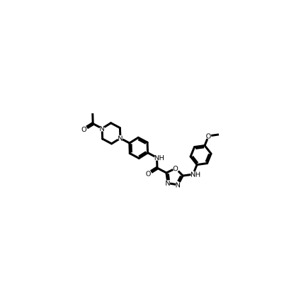 COc1ccc(Nc2nnc(C(=O)Nc3ccc(N4CCN(C(C)=O)CC4)cc3)o2)cc1